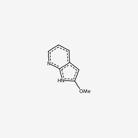 COc1cc2cccnc2[nH]1